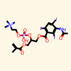 C=C(C)C(=O)OCC(COC(=O)c1c(I)cc(I)c(NC(C)=O)c1I)OP(=O)(O)OCC[N+](C)(C)C